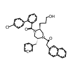 O=C(Cc1ccc2ccccc2c1)N1C[C@H](CCCO)N(C(=O)c2ccccc2-c2ccc(Cl)cc2)C[C@H]1Cc1ccccc1